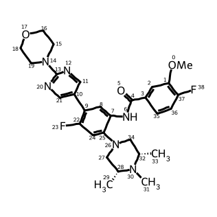 COc1cc(C(=O)Nc2cc(-c3cnc(N4CCOCC4)nc3)c(F)cc2N2C[C@@H](C)N(C)[C@@H](C)C2)ccc1F